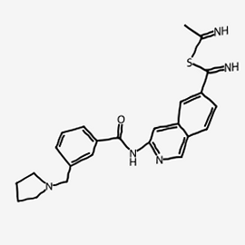 CC(=N)SC(=N)c1ccc2cnc(NC(=O)c3cccc(CN4CCCC4)c3)cc2c1